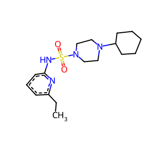 CCc1cccc(NS(=O)(=O)N2CCN(C3CCCCC3)CC2)n1